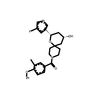 Cc1cc(C(=O)N2CCC3(CC2)C[C@@H](O)C[C@@H](c2cncc(F)c2)O3)ccc1OC(C)C